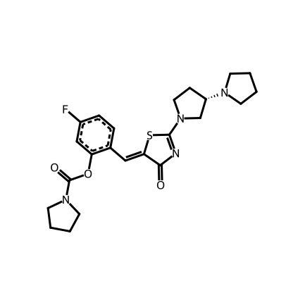 O=C1N=C(N2CC[C@H](N3CCCC3)C2)S/C1=C\c1ccc(F)cc1OC(=O)N1CCCC1